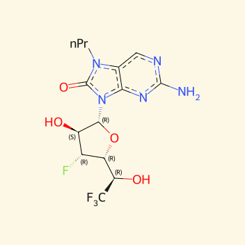 CCCn1c(=O)n([C@@H]2O[C@H]([C@@H](O)C(F)(F)F)[C@H](F)[C@H]2O)c2nc(N)ncc21